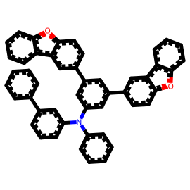 c1ccc(-c2cccc(N(c3ccccc3)c3cc(-c4ccc5oc6ccccc6c5c4)cc(-c4ccc5oc6ccccc6c5c4)c3)c2)cc1